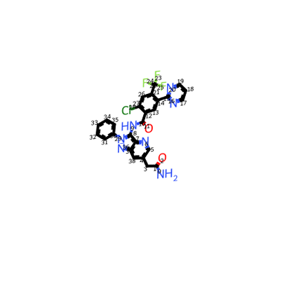 NC(=O)Cc1cnc2c(NC(=O)c3cc(-c4ncccn4)c(C(F)(F)F)cc3Cl)n(-c3ccccc3)nc2c1